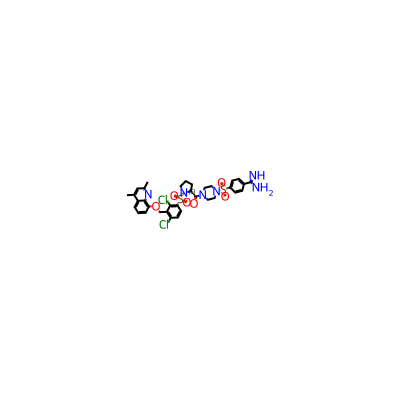 Cc1cc(C)c2cccc(OCc3c(Cl)ccc(S(=O)(=O)N4CCC[C@H]4C(=O)N4CCN(S(=O)(=O)c5ccc(C(=N)N)cc5)CC4)c3Cl)c2n1